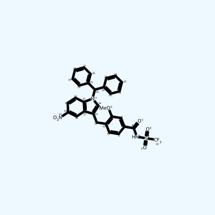 COc1cc(C(=O)NS(=O)(=O)C(F)(F)F)ccc1Cc1cn(C(c2ccccc2)c2ccccc2)c2ccc([N+](=O)[O-])cc12